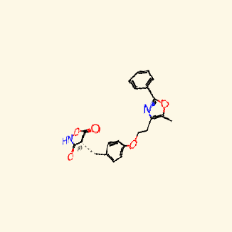 Cc1oc(-c2ccccc2)nc1CCOc1ccc(C[C@@H]2C(=O)NOC2=O)cc1